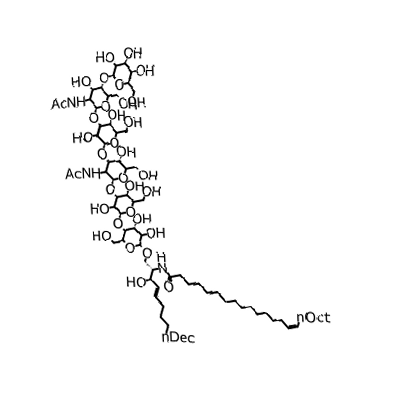 CCCCCCCC/C=C\CCCCCCCCCCCCCC(=O)N[C@@H](CO[C@@H]1OC(CO)[C@@H](O[C@@H]2OC(CO)[C@H](O)[C@H](O[C@@H]3OC(CO)[C@@H](O)[C@H](O[C@@H]4OC(CO)[C@H](O)[C@H](O[C@@H]5OC(CO)[C@@H](O[C@@H]6OC(CO)[C@H](O)[C@H](O)C6O)[C@H](O)C5NC(C)=O)C4O)C3NC(C)=O)C2O)[C@H](O)C1O)[C@H](O)/C=C/CCCCCCCCCCCCC